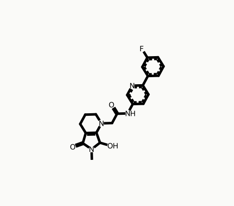 CN1C(=O)C2=C(C1O)N(CC(=O)Nc1ccc(-c3cccc(F)c3)nc1)CCC2